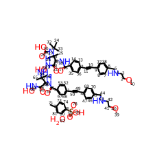 COCCNCc1ccc(C#Cc2ccc(C(=O)N[C@H](C(=O)NO)C(C)(C)N(C(=O)O)C(C)(C)C)cc2)cc1.COCCNCc1ccc(C#Cc2ccc(C(=O)N[C@H](C(=O)NO)C(C)(C)N)cc2)cc1.Cc1ccc(S(=O)(=O)O)cc1.O